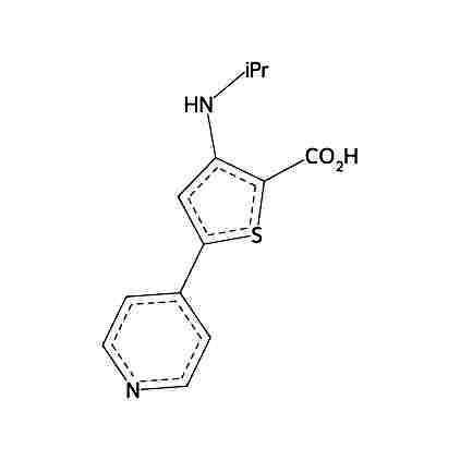 CC(C)Nc1cc(-c2ccncc2)sc1C(=O)O